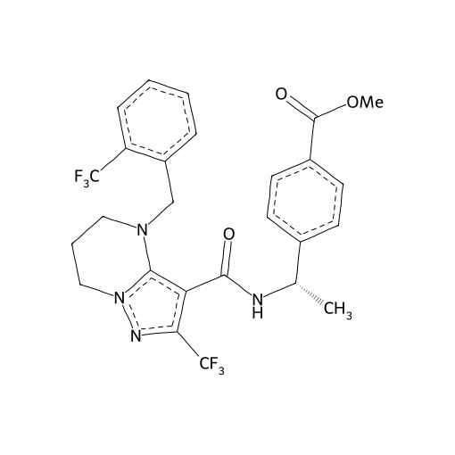 COC(=O)c1ccc([C@H](C)NC(=O)c2c(C(F)(F)F)nn3c2N(Cc2ccccc2C(F)(F)F)CCC3)cc1